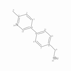 Cc1ccc(-c2ccc(CC(C)(C)C)cc2)cn1